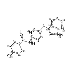 O=C(Nc1ccc(Cc2c[nH]c3ncccc23)cn1)C1C=CC(Cl)=CC1